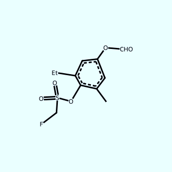 CCc1cc(OC=O)cc(C)c1OS(=O)(=O)CF